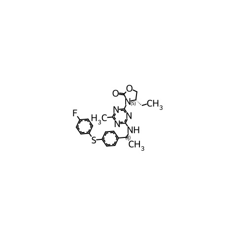 CC[C@H]1COC(=O)N1c1nc(C)nc(N[C@H](C)c2ccc(Sc3ccc(F)cc3)cc2)n1